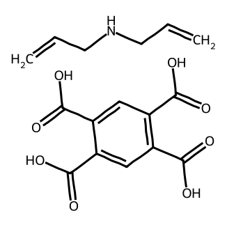 C=CCNCC=C.O=C(O)c1cc(C(=O)O)c(C(=O)O)cc1C(=O)O